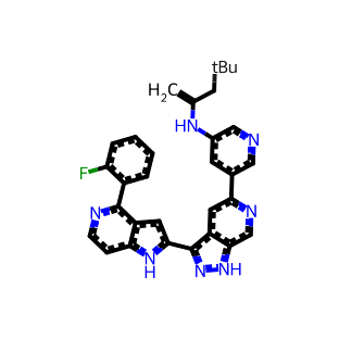 C=C(CC(C)(C)C)Nc1cncc(-c2cc3c(-c4cc5c(-c6ccccc6F)nccc5[nH]4)n[nH]c3cn2)c1